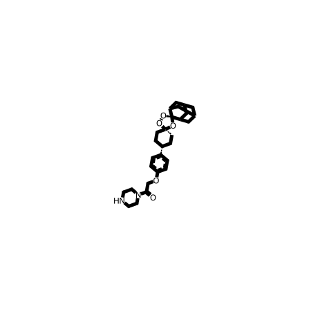 O=C(COc1ccc([C@H]2CC[C@]3(CC2)OO[C@]2(O3)C3CC4CC(C3)CC2C4)cc1)N1CCNCC1